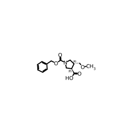 COC[C@H]1CN(C(=O)OCc2ccccc2)C[C@@H]1C(=O)O